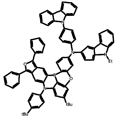 CCn1c2ccccc2c2cc(N(c3ccc(-n4c5ccccc5c5ccccc54)cc3)c3ccc4c(c3)Oc3cc(C(C)(C)C)cc5c3B4c3cc4c(-c6ccccc6)oc(-c6ccccc6)c4cc3N5c3ccc(C(C)(C)C)cc3)ccc21